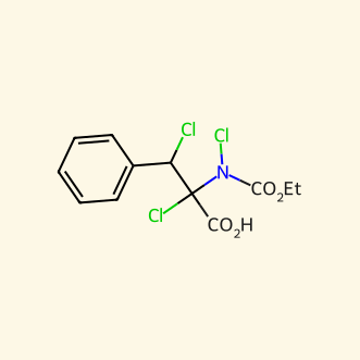 CCOC(=O)N(Cl)C(Cl)(C(=O)O)C(Cl)c1ccccc1